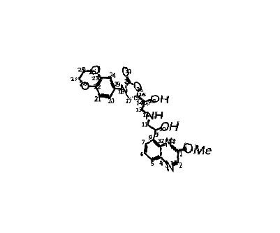 COc1cnc2cccc(C(O)CNC[C@H](O)[C@@H]3CN(c4ccc5c(c4)OCCO5)C(=O)O3)c2n1